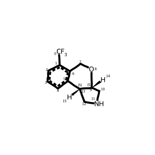 FC(F)(F)c1cccc2c1CO[C@@H]1CNC[C@H]21